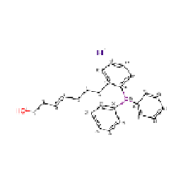 I.OCCC=CCCCc1ccccc1P(c1ccccc1)c1ccccc1